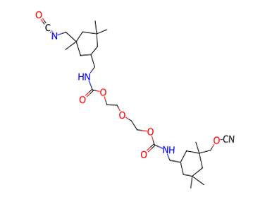 CC1(C)CC(CNC(=O)OCCOCCOC(=O)NCC2CC(C)(C)CC(C)(COC#N)C2)CC(C)(CN=C=O)C1